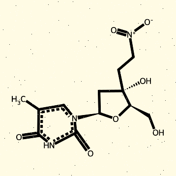 Cc1cn([C@H]2C[C@@](O)(CC[N+](=O)[O-])[C@@H](CO)O2)c(=O)[nH]c1=O